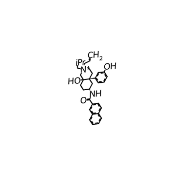 C=CC[N@@+]1(CC(C)C)CC[C@]2(c3cccc(O)c3)C[C@H](NC(=O)c3ccc4ccccc4c3)CCC2(O)C1